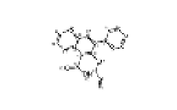 C=CCOc1c(-c2ccccc2)nc2ccccc2c1C(=O)O